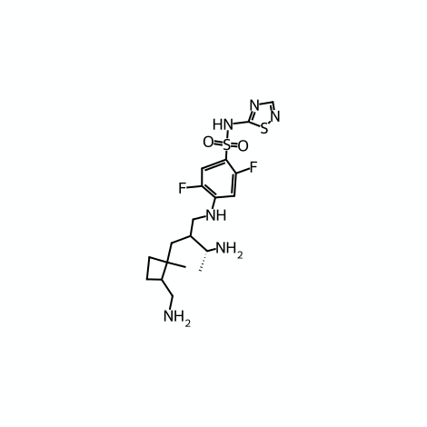 C[C@@H](N)C(CNc1cc(F)c(S(=O)(=O)Nc2ncns2)cc1F)CC1(C)CCC1CN